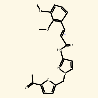 COc1cccc(/C=C/C(=O)Nc2ccn(Cc3ccc(C(C)=O)o3)n2)c1OC